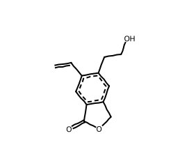 C=Cc1cc2c(cc1CCO)COC2=O